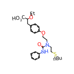 CCCCSCCN(CCOc1ccc(CC(OCC)C(=O)O)cc1)C(=O)Nc1ccccc1